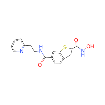 O=C(NCCc1ccccn1)c1ccc2c(c1)SC(C(=O)NO)C2